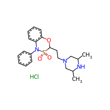 CC1CN(CCC2Oc3ccccc3N(c3ccccc3)S2(=O)=O)CC(C)N1.Cl